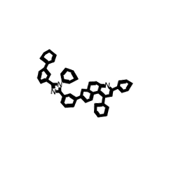 C1=CC(c2cccc(C3=NC(c4cccc(C5=CC=C6c7c(-c8ccccc8)cc(-c8ccccc8)nc7C=CC6C5)c4)N3c3ccccc3)c2)=CCC1